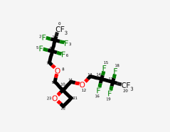 FC(F)(F)C(F)(F)C(F)(F)COCC1(COCC(F)(F)C(F)(F)C(F)(F)F)CCO1